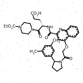 CCOC(=O)N1CCN(C(=O)[C@H](CCC(=O)O)NC(=O)c2cc(OCC(=O)N3CCCC3c3cc(C)cc(C)c3)c3ccccc3n2)CC1